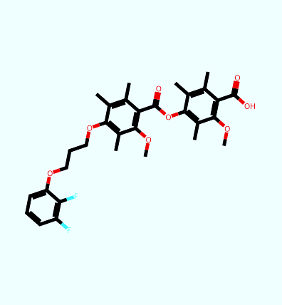 COc1c(C)c(OC(=O)c2c(C)c(C)c(OCCCOc3cccc(F)c3F)c(C)c2OC)c(C)c(C)c1C(=O)O